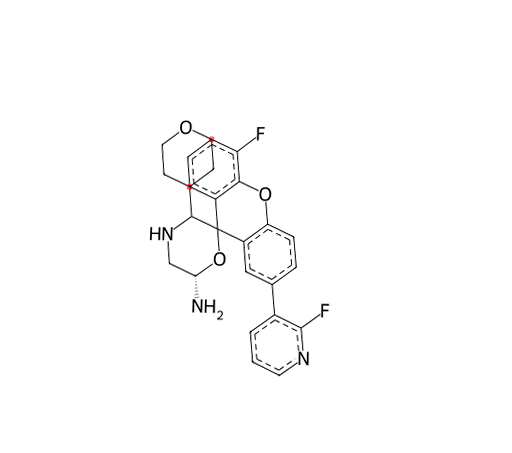 N[C@@H]1CNC(C2CCOCC2)C2(O1)c1cc(-c3cccnc3F)ccc1Oc1c(F)cccc12